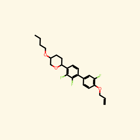 C=CCOc1ccc(-c2ccc(C3CCC(OCCCC)CO3)c(F)c2F)cc1F